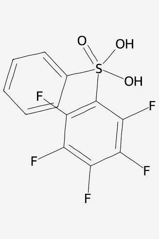 O=S(O)(O)(c1ccccc1)c1c(F)c(F)c(F)c(F)c1F